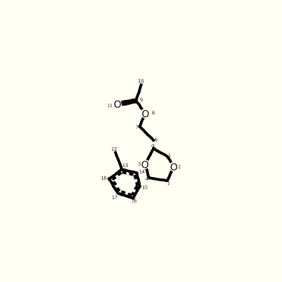 C1COCCO1.CCOC(C)=O.Cc1ccccc1